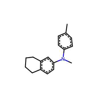 Cc1ccc(N(C)c2ccc3c(c2)CCCC3)cc1